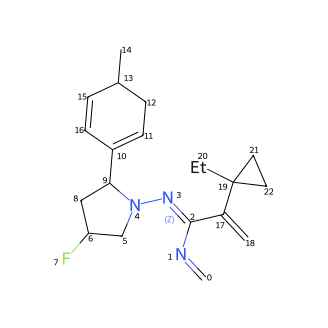 C=N/C(=N\N1CC(F)CC1C1=CCC(C)C=C1)C(=C)C1(CC)CC1